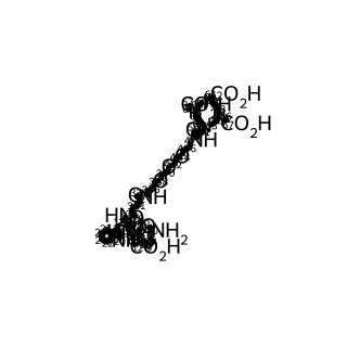 NC(=O)[C@@H]1CCCN1C(=O)[C@H](CC(=O)O)NC(=O)[C@H](Cc1c[nH]c2ccccc12)NC(=O)CCC(=O)NCCCOCCOCCOCCCNC(=O)CN1CCN(CC(=O)O)CCN(CC(=O)O)CCN(CC(=O)O)CC1